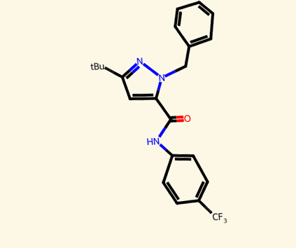 CC(C)(C)c1cc(C(=O)Nc2ccc(C(F)(F)F)cc2)n(Cc2ccccc2)n1